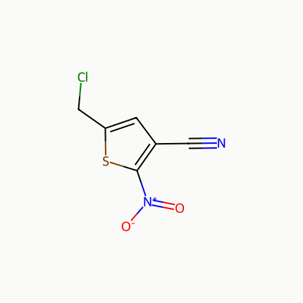 N#Cc1cc(CCl)sc1[N+](=O)[O-]